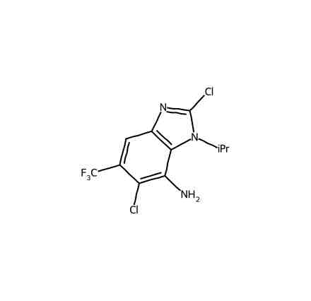 CC(C)n1c(Cl)nc2cc(C(F)(F)F)c(Cl)c(N)c21